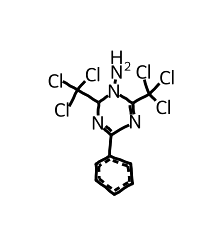 NN1C(C(Cl)(Cl)Cl)=NC(c2ccccc2)=NC1C(Cl)(Cl)Cl